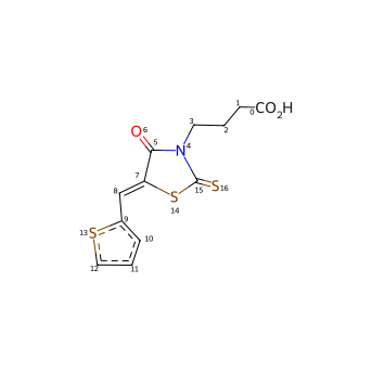 O=C(O)CCCN1C(=O)/C(=C/c2cccs2)SC1=S